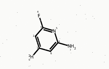 [2H]c1[c]c(F)nc(N)c1